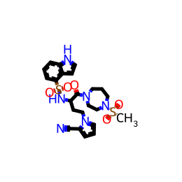 CS(=O)(=O)N1CCCN(C(=O)C(CCn2cccc2C#N)NS(=O)(=O)c2cccc3[nH]ccc23)CC1